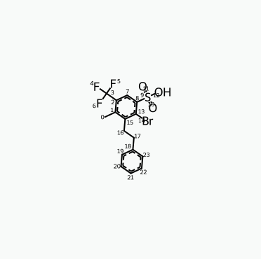 Cc1c(C(F)(F)F)cc(S(=O)(=O)O)c(Br)c1CCc1ccccc1